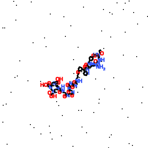 CCC(=O)NCCNC(=O)/N=C(/N)NCCC[C@@H](NC(=O)[C@@H](c1ccccc1)c1cccc(OCCCCNC(=O)CN(C)C(=O)CN(C)C(=O)CN(C)C(=O)CN(C)C(=O)CN(C)C(=O)CCNC(=O)CN2CCN(CC(=O)O)CCN(CC(=O)O)CCN(CC(=O)O)CC2)c1)C(=O)NCc1ccc(O)cc1